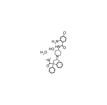 CC(CC(C(=O)N(C)C)(c1ccccc1)c1ccccc1)N1CC[C@H](NC(=O)c2ccc(Cl)cc2N)[C@@H](O)C1.O